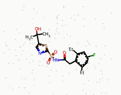 CCc1cc(F)cc(CC)c1CC(=O)NS(=O)(=O)c1ncc(C(C)(C)O)s1